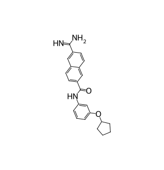 N=C(N)c1ccc2cc(C(=O)Nc3cccc(OC4CCCC4)c3)ccc2c1